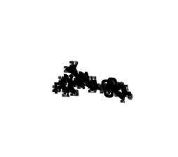 Cc1ccc(S(=O)(=O)OC[C@H]2C[C@H](n3cc(-c4ncc(F)cc4C)c(C4CC4)n3)C2)cc1